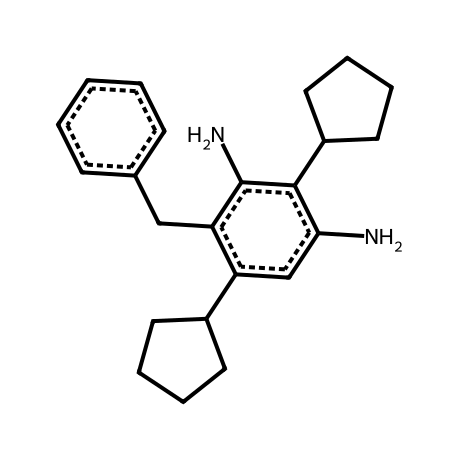 Nc1cc(C2CCCC2)c(Cc2ccccc2)c(N)c1C1CCCC1